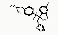 CC(Sc1ccc(C(F)(F)C(O)(Cn2cnnn2)c2ccc(F)cc2F)nc1)C(=O)O